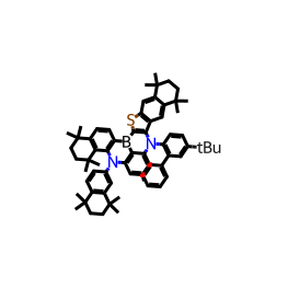 Cc1cc2c3c(c1)N(c1ccc(C(C)(C)C)cc1-c1ccccc1)c1c(sc4cc5c(cc14)C(C)(C)CCC5(C)C)B3c1ccc3c(c1N2c1ccc2c(c1)C(C)(C)CCC2(C)C)C(C)(C)CCC3(C)C